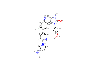 COC1CC(n2c(=O)n(C)c3cnc4cc(F)c(-c5ccc(N6CC[C@@H](N(C)C)C6)nc5)cc4c32)C1